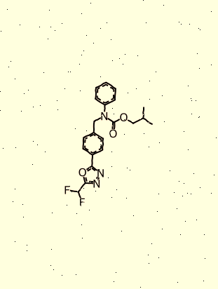 CC(C)COC(=O)N(Cc1ccc(-c2nnc(C(F)F)o2)cc1)c1ccccc1